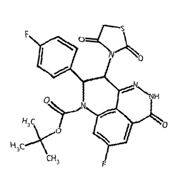 CC(C)(C)OC(=O)N1c2cc(F)cc3c(=O)[nH]nc(c23)C(N2C(=O)CSC2=O)C1c1ccc(F)cc1